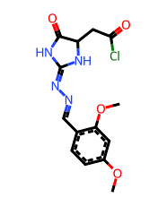 COc1ccc(C=NN=C2NC(=O)C(CC(=O)Cl)N2)c(OC)c1